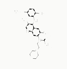 COc1ccc(C)c(Nc2c(C#N)cnc3cc(N(CCN4CCOCC4)C(N)=S)c(N)cc23)c1